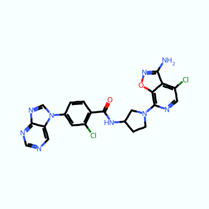 Nc1noc2c(N3CCC(NC(=O)c4ccc(-n5cnc6ncncc65)cc4Cl)C3)ncc(Cl)c12